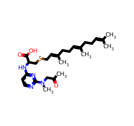 CC(=O)CN(C)c1nccc(NC(CSC/C=C(\C)CC/C=C(\C)CCC=C(C)C)C(=O)O)n1